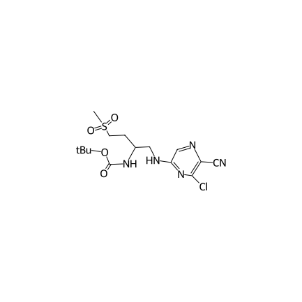 CC(C)(C)OC(=O)NC(CCS(C)(=O)=O)CNc1cnc(C#N)c(Cl)n1